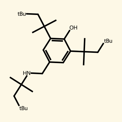 CC(C)(C)CC(C)(C)NCc1cc(C(C)(C)CC(C)(C)C)c(O)c(C(C)(C)CC(C)(C)C)c1